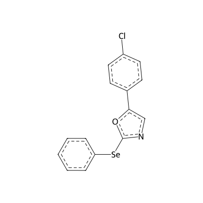 Clc1ccc(-c2cnc([Se]c3ccccc3)o2)cc1